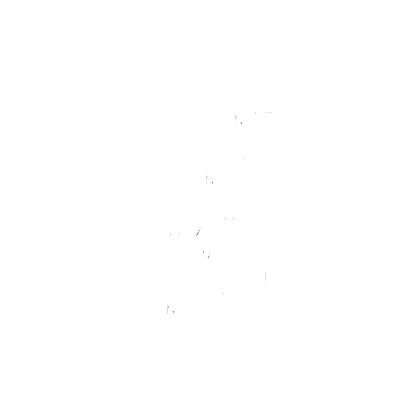 CC(C)CN(Cc1cccc2cccnc12)C(=O)[C@H]1CN(Cc2c(Cl)n(C)c3ccccc23)CCO1